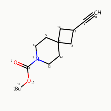 C#CC1CC2(CCN(C(=O)OC(C)(C)C)CC2)C1